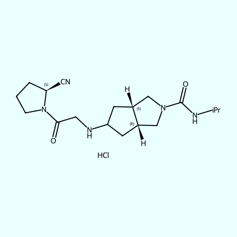 CC(C)NC(=O)N1C[C@H]2CC(NCC(=O)N3CCC[C@H]3C#N)C[C@H]2C1.Cl